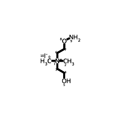 C[N+](C)(CCO)CCON.[I-]